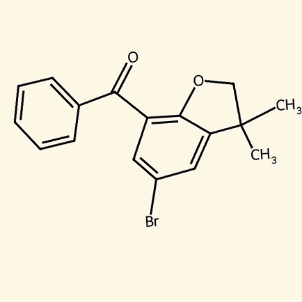 CC1(C)COc2c(C(=O)c3ccccc3)cc(Br)cc21